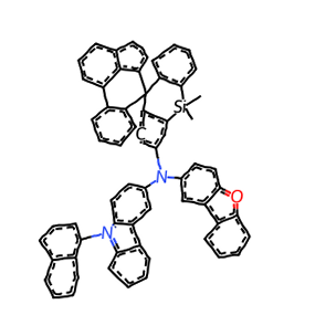 C[Si]1(C)c2ccccc2C2(c3ccccc3-c3cccc4cccc2c34)c2ccc(N(c3ccc4oc5ccccc5c4c3)c3ccc4c(c3)c3ccccc3n4-c3cccc4ccccc34)cc21